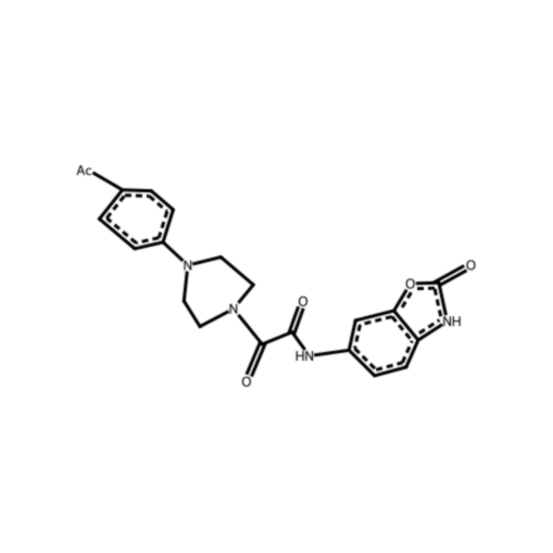 CC(=O)c1ccc(N2CCN(C(=O)C(=O)Nc3ccc4[nH]c(=O)oc4c3)CC2)cc1